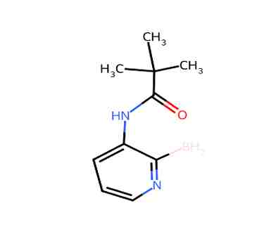 Bc1ncccc1NC(=O)C(C)(C)C